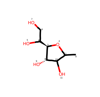 CC1O[C@H](C(O)CO)[C@@H](O)C1O